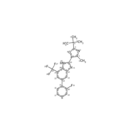 Cc1nc(C(C)(C)C)oc1-c1nc2cc(-c3ccccc3F)cc(C(F)(F)F)c2[nH]1